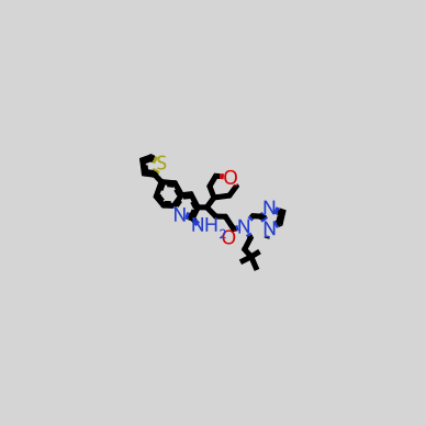 Cn1ccnc1CN(CCC(C)(C)C)C(=O)CCC(c1cc2cc(-c3cccs3)ccc2nc1N)C1CCOCC1